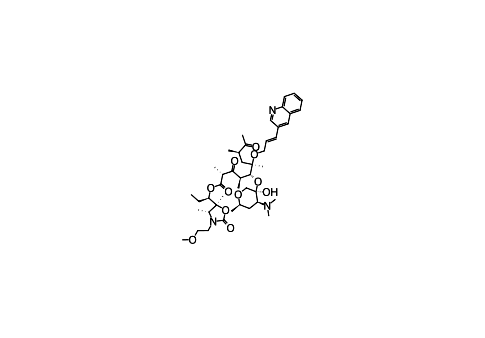 CC[C@@H](OC(=O)[C@H](C)C(=O)[C@H](C)[C@@H](O[C@]1(O)CO[C@H](C)C[C@@H]1N(C)C)[C@@](C)(C[C@@H](C)C(C)=O)OC/C=C/c1cnc2ccccc2c1)[C@@]1(C)OC(=O)N(CCOC)[C@@H]1C